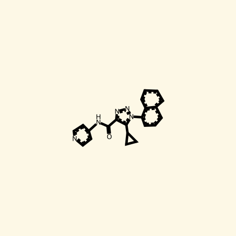 O=C(Nc1ccncc1)c1nnn(-c2cccc3ccccc23)c1C1CC1